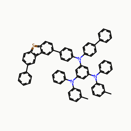 Cc1cccc(N(c2ccccc2)c2cc(N(c3ccc(-c4ccccc4)cc3)c3ccc(-c4ccc5sc6ccc(-c7ccccc7)cc6c5c4)cc3)cc(N(c3ccccc3)c3cccc(C)c3)c2)c1